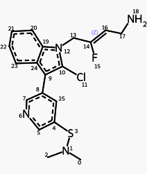 CN(C)Sc1cncc(-c2c(Cl)n(C/C(F)=C/CN)c3ccccc23)c1